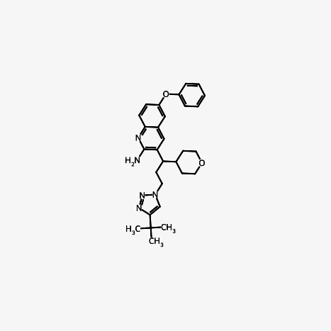 CC(C)(C)c1cn(CCC(c2cc3cc(Oc4ccccc4)ccc3nc2N)C2CCOCC2)nn1